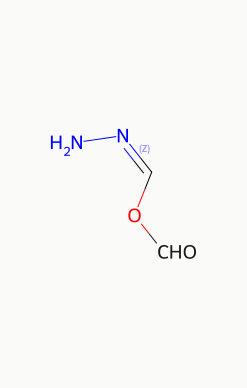 N/N=C\OC=O